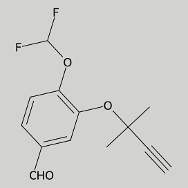 C#CC(C)(C)Oc1cc(C=O)ccc1OC(F)F